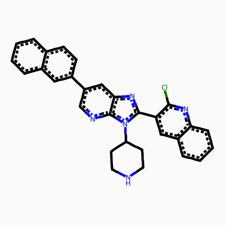 Clc1nc2ccccc2cc1-c1nc2cc(-c3ccc4ccccc4c3)cnc2n1C1CCNCC1